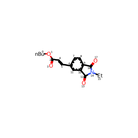 CCCCOC(=O)/C=C/c1ccc2c(c1)C(=O)N(CC)C2=O